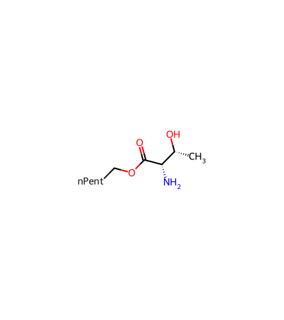 CCCCCCOC(=O)[C@@H](N)[C@@H](C)O